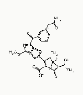 CSc1nc(C(=O)c2ccc[n+](CC(N)=O)c2)c2sc(C3=C(C(=O)[O-])N4C(=O)[C@H]([C@@H](C)O)[C@H]4[C@H]3C)cn12